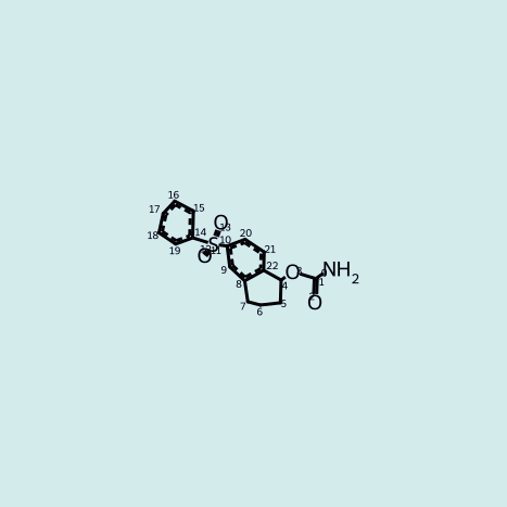 NC(=O)OC1CCCc2cc(S(=O)(=O)c3ccccc3)ccc21